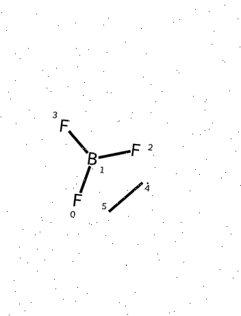 FB(F)F.[CH2]C